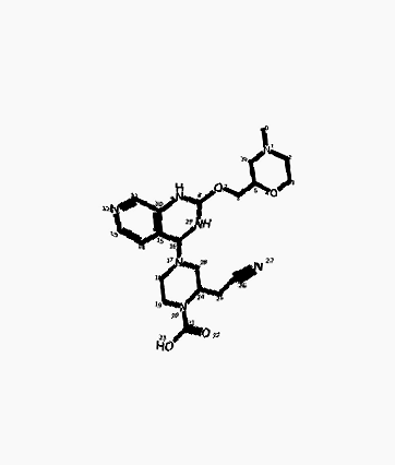 CN1CCOC(COC2Nc3cnccc3C(N3CCN(C(=O)O)C(CC#N)C3)N2)C1